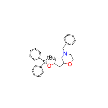 CC(C)(C)[Si](OC1CC2OCCN(Cc3ccccc3)C2C1)(c1ccccc1)c1ccccc1